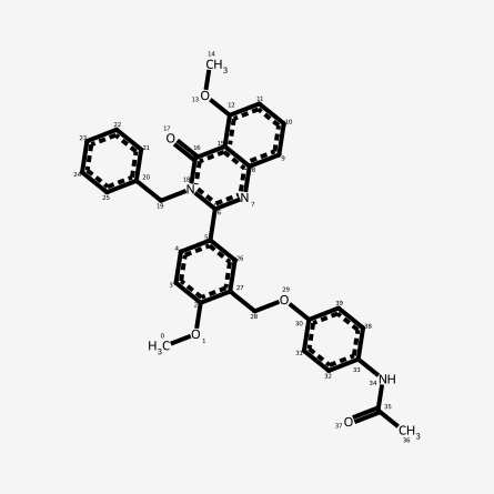 COc1ccc(-c2nc3cccc(OC)c3c(=O)n2Cc2ccccc2)cc1COc1ccc(NC(C)=O)cc1